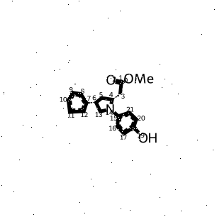 COC(=O)C[C@H]1C[C@@H](c2ccccc2)CN1c1ccc(O)cc1